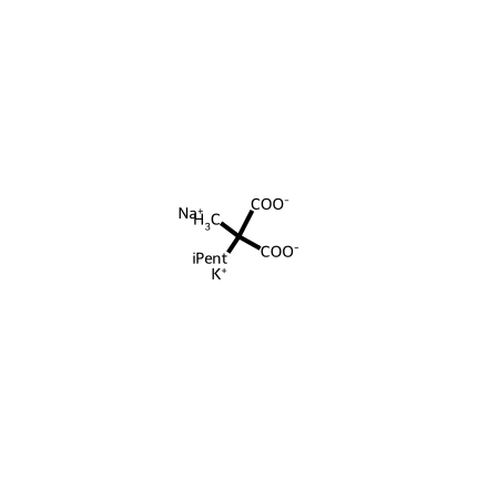 CCCC(C)C(C)(C(=O)[O-])C(=O)[O-].[K+].[Na+]